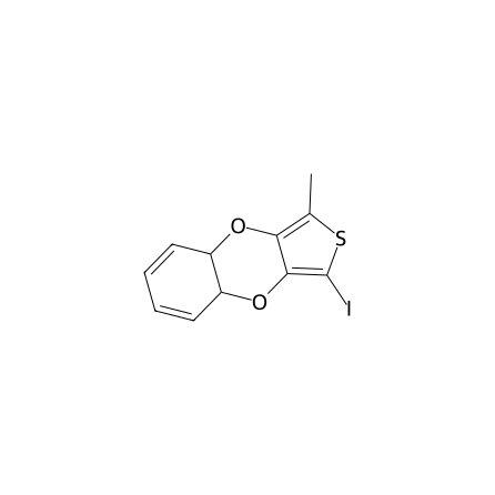 Cc1sc(I)c2c1OC1C=CC=CC1O2